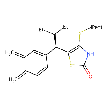 C=C/C=C\C(=C/C=C)[C@H](c1sc(=O)[nH]c1SC(C)CCC)C(CC)CC